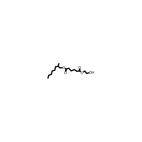 CCCCCCC(C)COC(=O)CCCCC(=O)OCCO